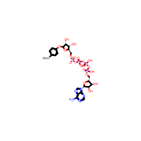 COc1ccc(OC2O[C@H](COP(=O)(O)OP(=O)(O)OP(=O)(O)OP(=O)(O)OC[C@H]3O[C@@H](n4cnc5c(N)ncnc54)[C@H](O)[C@@H]3O)[C@@H](O)[C@H]2O)cc1